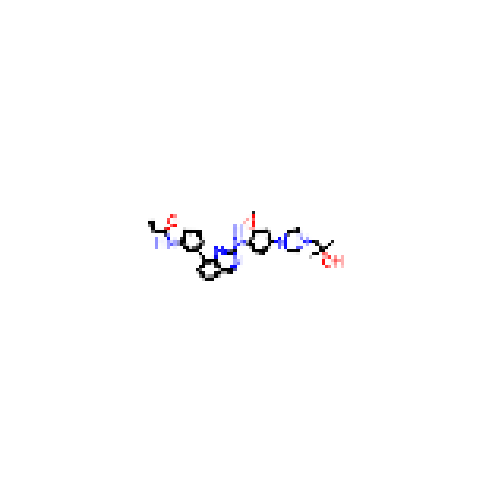 C=CC(=O)Nc1cccc(-c2cccc3cnc(Nc4ccc(N5CCN(CC(C)(C)O)CC5)cc4OC)nc23)c1